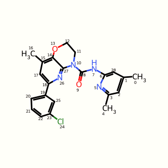 Cc1cc(C)nc(NC(=O)N2CCOc3c(C)cc(-c4cccc(Cl)c4)nc32)c1